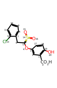 O=C(O)c1cc(OC(Cc2ccccc2Cl)=S(=O)=O)ccc1O